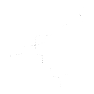 CCCCCCCCCCC(CCOC(=O)CC(CCCCCCCC)CCCCCCCC)(OC(=O)CCCCCCC)OC(=O)OCCCN(C)C